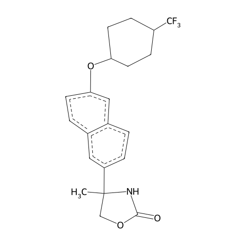 CC1(c2ccc3cc(OC4CCC(C(F)(F)F)CC4)ccc3c2)COC(=O)N1